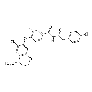 Cc1cc(C(=O)NC(Cl)Cc2ccc(Cl)cc2)ccc1Oc1cc2c(cc1Cl)C(C(=O)O)CCO2